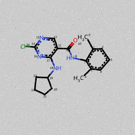 Cc1cccc(C)c1NC(=O)c1cnc(Cl)nc1NC1CCCC1